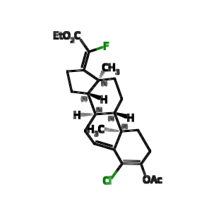 CCOC(=O)C(F)=C1CC[C@H]2[C@@H]3CC=C4C(Cl)=C(OC(C)=O)CC[C@]4(C)[C@H]3CC[C@]12C